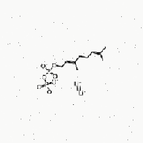 CC(C)=CCC/C(C)=C/COP(=O)([O-])OP(=O)([O-])[O-].[Li+].[Li+].[Li+]